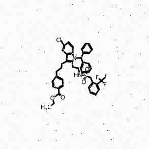 CCOC(=O)c1ccc(CCCc2c(CCNS(=O)(=O)Cc3ccccc3C(F)(F)F)n(C(c3ccccc3)c3ccccc3)c3ccc(Cl)cc23)cc1